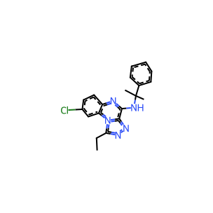 CCc1nnc2c(NC(C)(C)c3ccccc3)nc3ccc(Cl)cc3n12